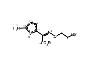 CCOC(=O)/C(=N\OCCBr)c1csc(N)n1